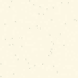 COc1cc([N+](=O)[O-])ccc1CC=O